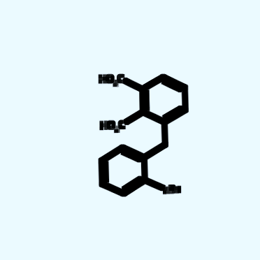 CCCCc1ccccc1Cc1cccc(C(=O)O)c1C(=O)O